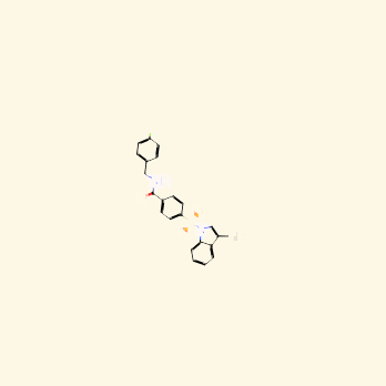 CCCc1cn(S(=O)(=O)c2ccc(C(=O)NCc3ccc(F)cc3)cc2)c2ccccc12